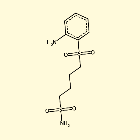 Nc1ccccc1S(=O)(=O)CCCCS(N)(=O)=O